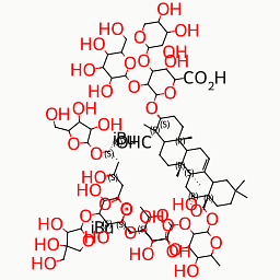 CC[C@H](C)[C@H](C[C@H](O)CC(=O)OC1C(O)C(C)OC(OC(=O)[C@]23CCC(C)(C)CC2C2=CCC4[C@@]5(C)CC[C@H](OC6OC(C(=O)O)C(O)C(OC7OCC(O)C(O)C7O)C6OC6OC(CO)C(O)C(O)C6O)[C@@](C)(C=O)C5CC[C@@]4(C)[C@]2(C)C[C@H]3O)C1OC1OC(C)C(OC2OCC(O)C(OC3OCC(O)(CO)C3O)C2O)C(O)C1O)OC(=O)C[C@@H](O)C[C@H](OC1OC(CO)C(O)C1O)[C@@H](C)CC